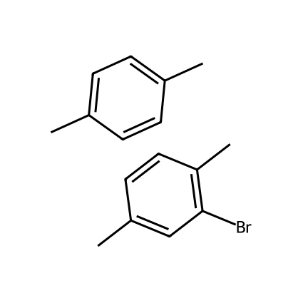 Cc1ccc(C)c(Br)c1.Cc1ccc(C)cc1